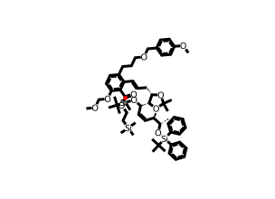 COCOc1ccc(CCCOCc2ccc(OC)cc2)c(/C=C/C[C@@H]2OC(C)(C)O[C@@H]2C(/C=C\[C@@H](C)[C@H](C)O[Si](c2ccccc2)(c2ccccc2)C(C)(C)C)O[Si](C)(C)C(C)(C)C)c1C(=O)OCC[Si](C)(C)C